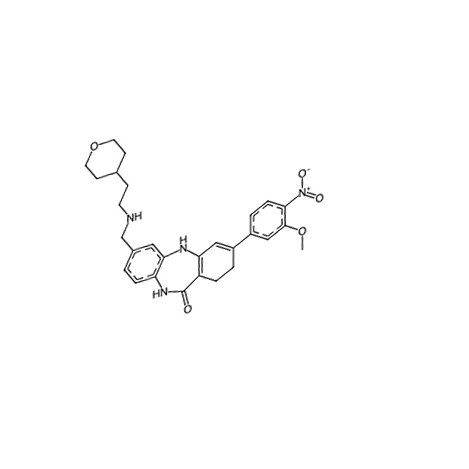 COc1cc(C2=CC3=C(CC2)C(=O)Nc2ccc(CNCCC4CCOCC4)cc2N3)ccc1[N+](=O)[O-]